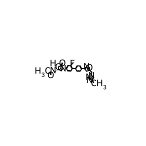 CC(=O)NC[C@H]1CN(c2ccc(-c3ccc(C4=NOC(Cn5cc(C)nn5)C4)cc3)c(F)c2)C(=O)O1